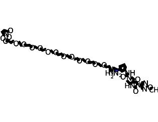 COc1ncc(N2C(=O)NC3(CCN(C(=O)Nc4cccc(/C(N)=C/N(N)CCOCCOCCOCCOCCOCCOCCOCCOCCOCCOCCOCCOCCC(=O)ON5C(=O)CCC5=O)c4)CC3)C2=O)cn1